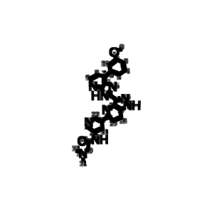 COc1cccc(-c2ccnc3[nH]c(-c4n[nH]c5ccc(-c6cncc(NC(=O)CN(C)C)c6)nc45)nc23)c1